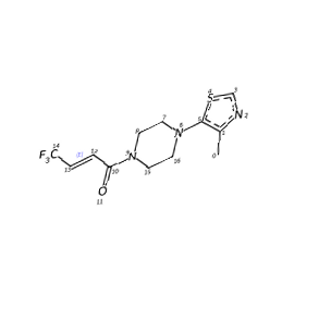 Cc1ncsc1N1CCN(C(=O)/C=C/C(F)(F)F)CC1